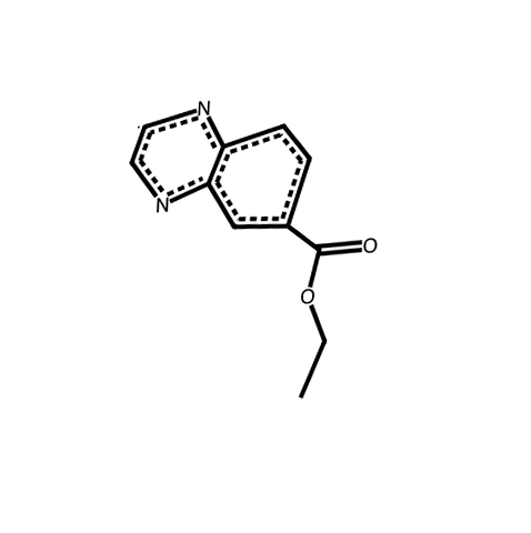 CCOC(=O)c1ccc2n[c]cnc2c1